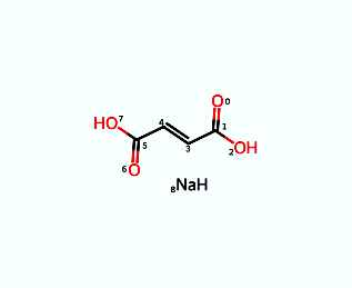 O=C(O)/C=C/C(=O)O.[NaH]